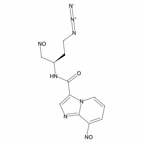 [N-]=[N+]=NCC[C@H](CN=O)NC(=O)c1cnc2c(N=O)cccn12